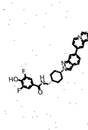 O=C(NC[C@H]1CC[C@H](n2cc3ccc(-c4ccn5ccnc5c4)cc3n2)CC1)c1cc(F)c(O)c(F)c1